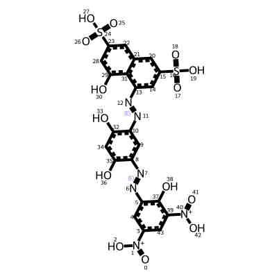 O=[N+](O)c1cc(/N=N/c2cc(/N=N/c3cc(S(=O)(=O)O)cc4cc(S(=O)(=O)O)cc(O)c34)c(O)cc2O)c(O)c([N+](=O)O)c1